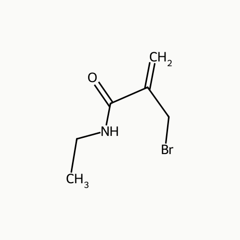 C=C(CBr)C(=O)NCC